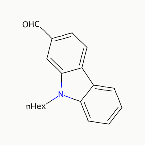 CCCCCCn1c2ccccc2c2ccc(C=O)cc21